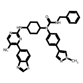 Cn1cc(-c2ccc(N(C(=O)NCc3ccccc3)C3CCC(Nc4ncc(C#N)c(-c5ccc6scnc6c5)n4)CC3)cc2)cn1